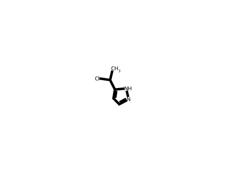 CC(Cl)c1ccn[nH]1